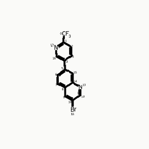 FC(F)(F)c1ccc(-c2ccc3cc(Br)cnc3c2)cn1